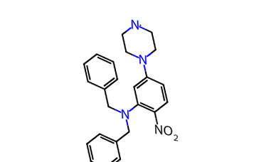 O=[N+]([O-])c1ccc(N2CC[N]CC2)cc1N(Cc1ccccc1)Cc1ccccc1